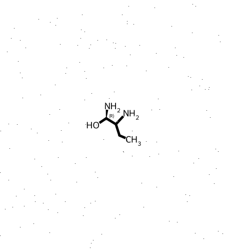 CCC(N)[C@H](N)O